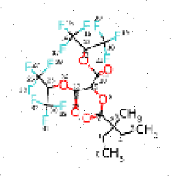 CCC(C)(CC)C(=O)OC(C(=O)OC(C(F)(F)F)C(F)(F)F)C(=O)OC(C(F)(F)F)C(F)(F)F